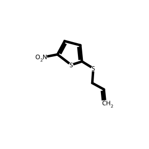 C=CCSc1ccc([N+](=O)[O-])s1